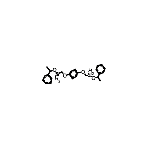 CC(O[SiH2]COc1ccc(OC[SiH2]OC(C)c2ccccc2)cc1)c1ccccc1